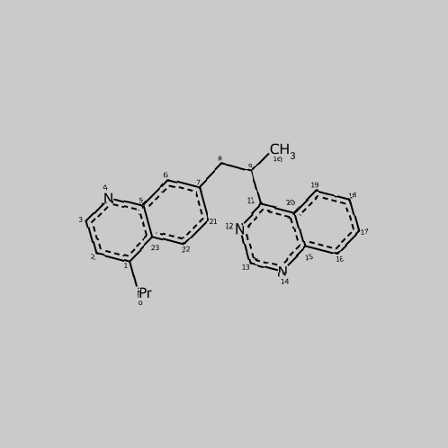 CC(C)c1ccnc2cc(CC(C)c3ncnc4ccccc34)ccc12